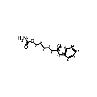 NC(=O)OCCCCCC(=O)Cc1ccccc1